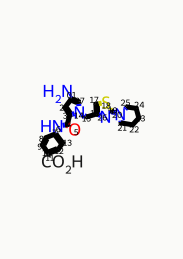 Nc1cc(C(=O)Nc2ccc(C(=O)O)cc2)n(Cc2csc(N3CCCCC3)n2)c1